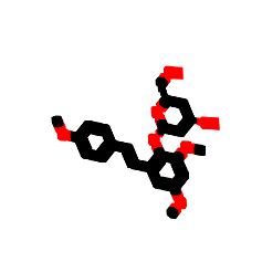 COc1ccc(/C=C/c2cc(OC)cc(OC)c2O[C@H]2C[C@@H](O)C[C@@H](CO)O2)cc1